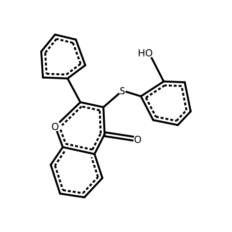 O=c1c(Sc2ccccc2O)c(-c2ccccc2)oc2ccccc12